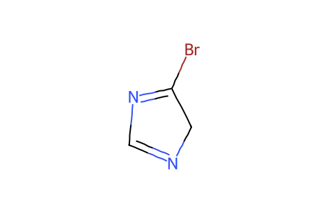 BrC1=NC=NC1